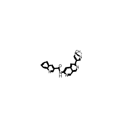 Cn1cc(-c2cc3cc(NC(=O)c4cnc5ccccc5c4)ncc3cn2)cn1